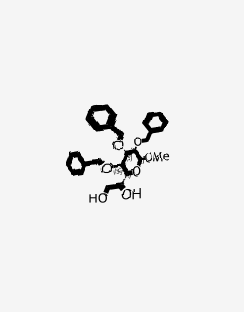 CO[C@H]1O[C@H](C(O)CO)[C@@H](OCc2ccccc2)[C@H](OCc2ccccc2)[C@@H]1OCc1ccccc1